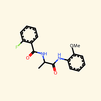 COc1ccccc1NC(=O)C(C)NC(=O)c1ccccc1F